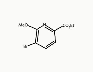 CCOC(=O)c1ccc(Br)c(OC)n1